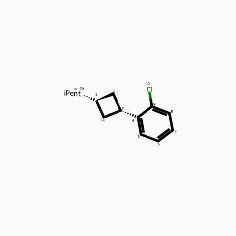 CCC[C@@H](C)[C@H]1C[C@H](c2ccccc2Cl)C1